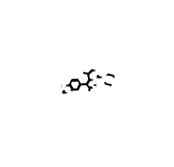 Cc1cnc(N2CCOCC2)n2nc(C(C)C)c(-c3ccc4[nH]c(=O)sc4c3)c12